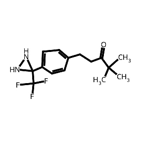 CC(C)(C)C(=O)CCc1ccc(C2(C(F)(F)F)NN2)cc1